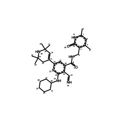 Cc1cc(C)c(CNC(=O)c2cc(C3=CC(C)(C)NC(C)(C)C3)nc(NC3CCCCC3)c2C=N)c(=O)[nH]1